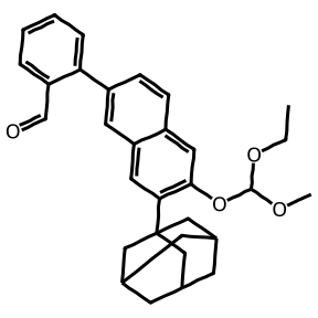 CCOC(OC)Oc1cc2ccc(-c3ccccc3C=O)cc2cc1C12CC3CC(CC(C3)C1)C2